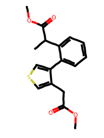 COC(=O)Cc1cscc1-c1ccccc1C(C)C(=O)OC